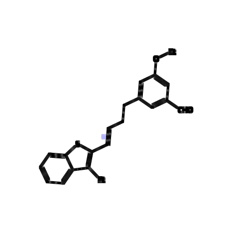 CCOc1cc(C=O)cc(CC/C=C/c2sc3ccccc3c2CC)c1